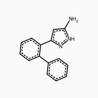 Nc1cc(-c2ccccc2-c2ccccc2)n[nH]1